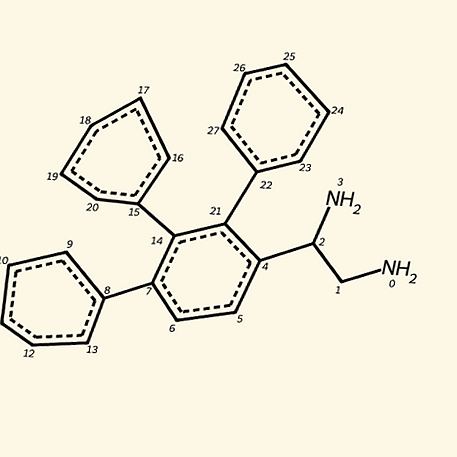 NCC(N)c1ccc(-c2ccccc2)c(-c2ccccc2)c1-c1ccccc1